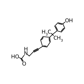 CC(C)(c1ccc(O)cc1)c1ccc(C#CCNC(=O)O)cc1